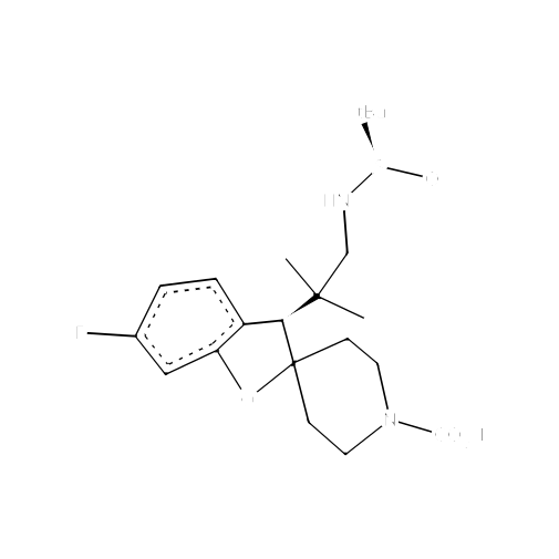 CC(C)(CN[S@+]([O-])C(C)(C)C)[C@@H]1c2ccc(F)cc2OC12CCN(C(=O)O)CC2